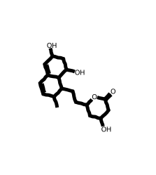 CC1C=CC2=CC(O)CC(O)C2C1CCC1CC(O)CC(=O)O1